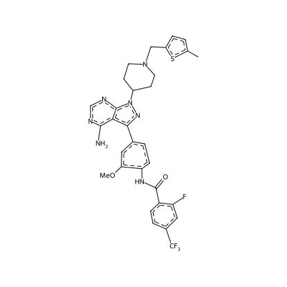 COc1cc(-c2nn(C3CCN(Cc4ccc(C)s4)CC3)c3ncnc(N)c23)ccc1NC(=O)c1ccc(C(F)(F)F)cc1F